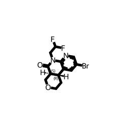 O=C1[C@@H]2COCC[C@H]2c2cc(Br)cnc2N1CC(F)F